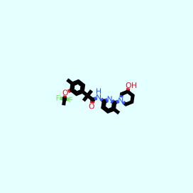 Cc1ccc(C(C)(C)C(=O)Nc2ccc(C)c(N3CCCC(O)C3)n2)cc1OC(C)(F)F